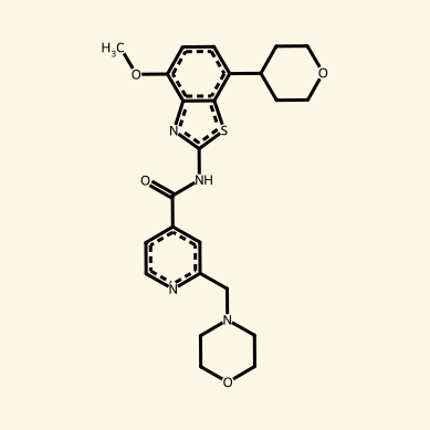 COc1ccc(C2CCOCC2)c2sc(NC(=O)c3ccnc(CN4CCOCC4)c3)nc12